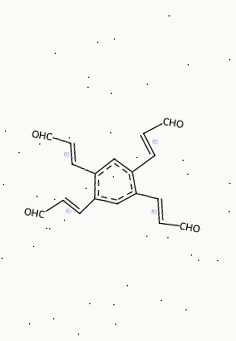 O=C/C=C/c1cc(/C=C/C=O)c(/C=C/C=O)cc1/C=C/C=O